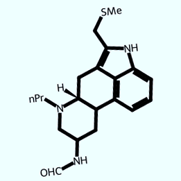 CCCN1CC(NC=O)CC2c3cccc4[nH]c(CSC)c(c34)C[C@H]21